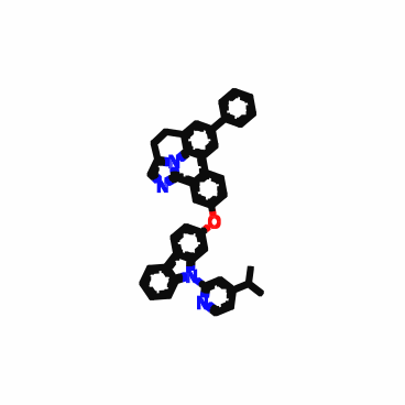 CC(C)c1ccnc(-n2c3ccccc3c3ccc(Oc4ccc5c(c4)c4ncc6n4c4c(cc(-c7ccccc7)cc54)CC6)cc32)c1